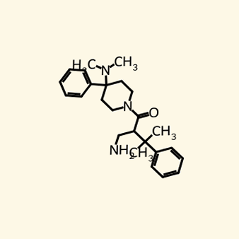 CN(C)C1(c2ccccc2)CCN(C(=O)C(CN)C(C)(C)c2ccccc2)CC1